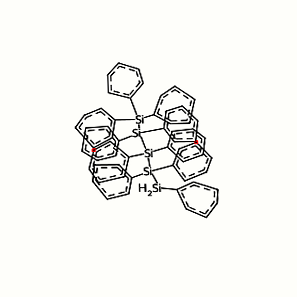 c1ccc([SiH2][Si](c2ccccc2)(c2ccccc2)[Si](c2ccccc2)(c2ccccc2)[Si](c2ccccc2)(c2ccccc2)[Si](c2ccccc2)(c2ccccc2)c2ccccc2)cc1